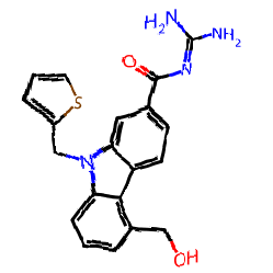 NC(N)=NC(=O)c1ccc2c3c(CO)cccc3n(Cc3cccs3)c2c1